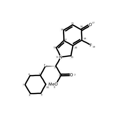 COC(=O)[C@H](CC1CCCCC1)N1C=C2C=CC(=O)C(F)=C2C1